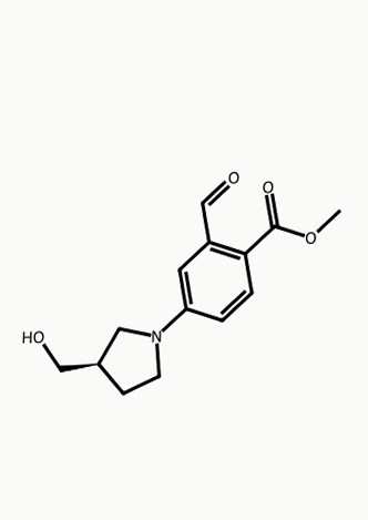 COC(=O)c1ccc(N2CC[C@@H](CO)C2)cc1C=O